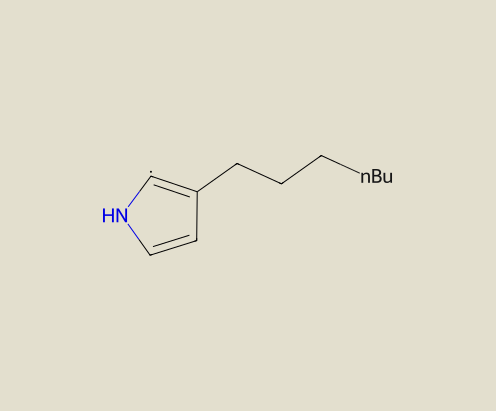 CCCCCCCc1[c][nH]cc1